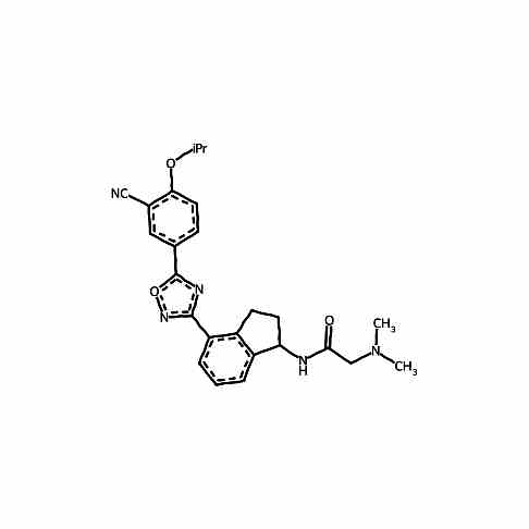 CC(C)Oc1ccc(-c2nc(-c3cccc4c3CCC4NC(=O)CN(C)C)no2)cc1C#N